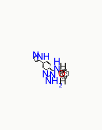 Nc1nc(N[C@H]2C[C@@H]3CC[C@H]2O3)c2ccc(-c3ccn[nH]3)cc2n1